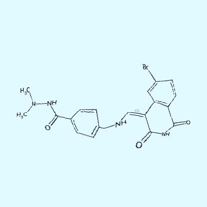 CN(C)NC(=O)c1ccc(N/C=C2\C(=O)NC(=O)c3ccc(Br)cc32)cc1